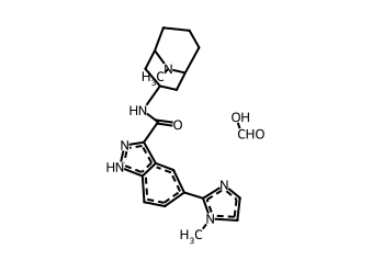 CN1C2CCCC1CC(NC(=O)c1n[nH]c3ccc(-c4nccn4C)cc13)C2.O=CO